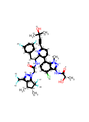 C[C@H](O)C(=O)Nc1nn(C)c2c(-c3ccc(C#CC(C)(C)O)nc3[C@H](Cc3cc(F)cc(F)c3)NC(=O)Cn3nc(C(F)F)c4c3C(F)(F)[C@H](C)[C@@H]4C)ccc(Cl)c12